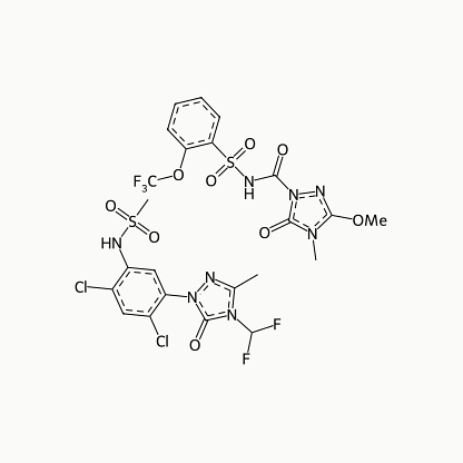 COc1nn(C(=O)NS(=O)(=O)c2ccccc2OC(F)(F)F)c(=O)n1C.Cc1nn(-c2cc(NS(C)(=O)=O)c(Cl)cc2Cl)c(=O)n1C(F)F